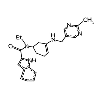 CCN(C(=O)c1cc2ccccc2[nH]1)C1CCC=C(NCc2cnc(C)nc2)C1